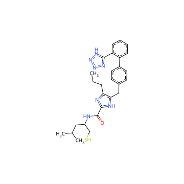 CCCc1nc(C(=O)NC(CS)CC(C)C)[nH]c1Cc1ccc(-c2ccccc2-c2nnn[nH]2)cc1